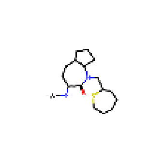 CNC1CCC2CCCC2N(CC2CCCCCS2)C1=O